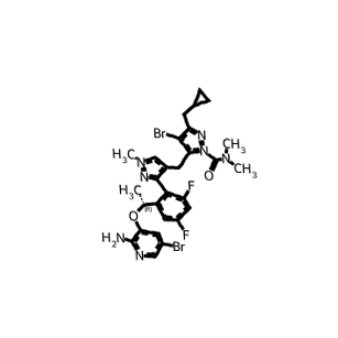 C[C@@H](Oc1cc(Br)cnc1N)c1cc(F)cc(F)c1-c1nn(C)cc1Cc1c(Br)c(CC2CC2)nn1C(=O)N(C)C